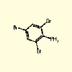 Pc1c(Br)cc(Br)cc1Br